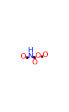 O=CNC(=O)OC=O